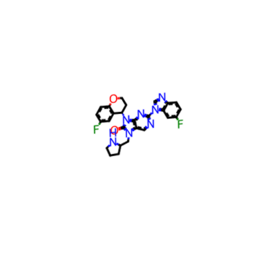 O=c1n(CC2CCCN2)c2cnc(-n3cnc4ccc(F)cc43)nc2n1[C@@H]1CCOc2ccc(F)cc21